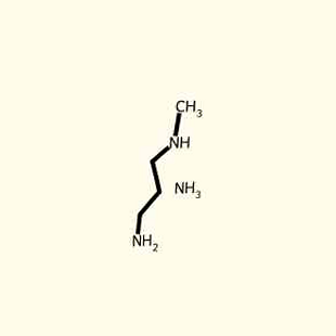 CNCCCN.N